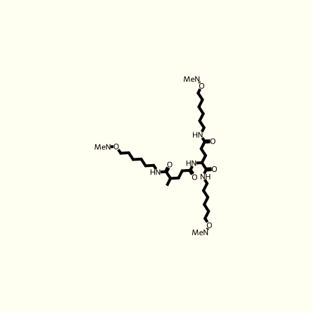 CNOCCCCCCNC(=O)CCC(NC(=O)CCC(C)C(=O)NCCCCCCONC)C(=O)NCCCCCCONC